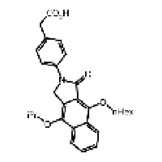 CCCCCCOc1c2c(c(OC(C)C)c3ccccc13)CN(c1ccc(CC(=O)O)cc1)C2=O